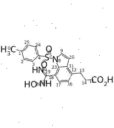 Cc1ccc(S(=O)(=O)n2ccc3c(CCC(=O)O)ccc(C(=N)NO)c32)cc1